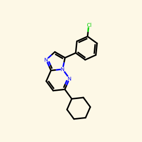 Clc1cccc(-c2cnc3ccc(C4CCCCC4)nn23)c1